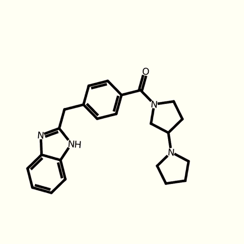 O=C(c1ccc(Cc2nc3ccccc3[nH]2)cc1)N1CCC(N2CCCC2)C1